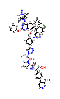 Cc1cnccc1-c1ccc([C@H](CO)NC(=O)[C@@H]2C[C@@H](O)CN2C(=O)[C@H](C(C)C)n2cc(-c3ccc(COc4c(-c5c(C)c(F)cc6n[nH]cc56)c(C5CC5)cc5c(N6C[C@@H]7C[C@H]6CN7)nc(OC6CCOCC6)nc45)cc3)nn2)cc1